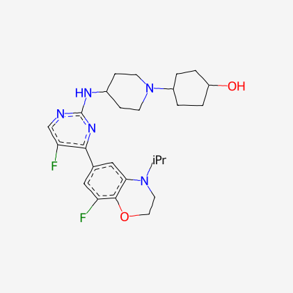 CC(C)N1CCOc2c(F)cc(-c3nc(NC4CCN(C5CCC(O)CC5)CC4)ncc3F)cc21